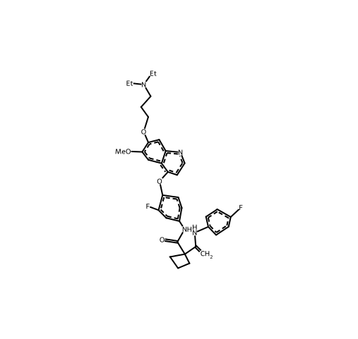 C=C(Nc1ccc(F)cc1)C1(C(=O)Nc2ccc(Oc3ccnc4cc(OCCCN(CC)CC)c(OC)cc34)c(F)c2)CCC1